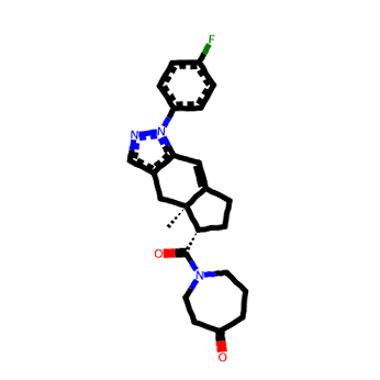 C[C@]12Cc3cnn(-c4ccc(F)cc4)c3C=C1CC[C@@H]2C(=O)N1CCCC(=O)CC1